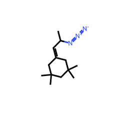 CC(C=C1CC(C)(C)CC(C)(C)C1)N=[N+]=[N-]